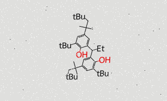 CCC(c1cc(C(C)(C)CC(C)(C)C)cc(C(C)(C)C)c1O)c1cc(C(C)(C)CC(C)(C)C)cc(C(C)(C)C)c1O